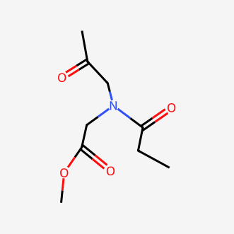 CCC(=O)N(CC(C)=O)CC(=O)OC